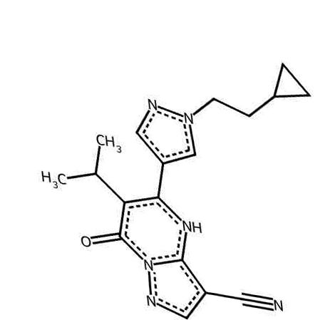 CC(C)c1c(-c2cnn(CCC3CC3)c2)[nH]c2c(C#N)cnn2c1=O